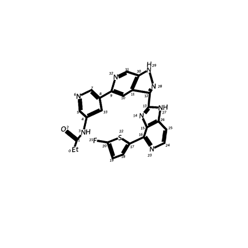 CCC(=O)Nc1cncc(-c2cc3c(-c4nc5c(-c6ccc(F)s6)nccc5[nH]4)n[nH]c3cn2)c1